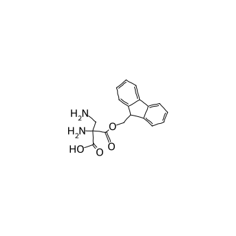 NCC(N)(C(=O)O)C(=O)OCC1c2ccccc2-c2ccccc21